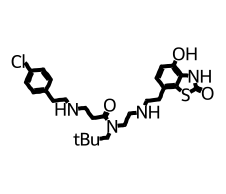 CC(C)(C)CN(CCNCCc1ccc(O)c2[nH]c(=O)sc12)C(=O)CCNCCc1ccc(Cl)cc1